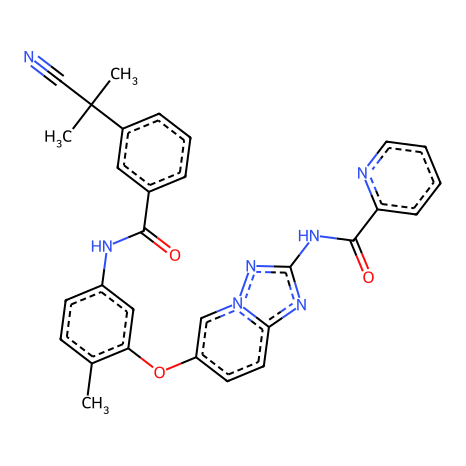 Cc1ccc(NC(=O)c2cccc(C(C)(C)C#N)c2)cc1Oc1ccc2nc(NC(=O)c3ccccn3)nn2c1